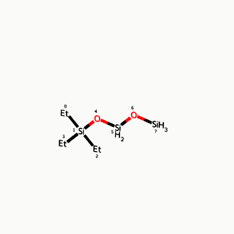 CC[Si](CC)(CC)O[SiH2]O[SiH3]